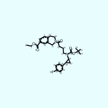 CCOC(=O)c1ccc2c(c1)CN(C(=O)CCCN(C(=O)OC(C)(C)C)C1CC1c1ccc(F)cc1)CC2